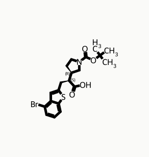 CC(C)(C)OC(=O)N1CC[C@H]([C@H](Cc2cc3c(Br)cccc3s2)C(=O)O)C1